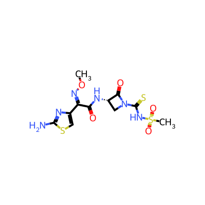 CON=C(C(=O)N[C@H]1CN(C(=S)NS(C)(=O)=O)C1=O)c1csc(N)n1